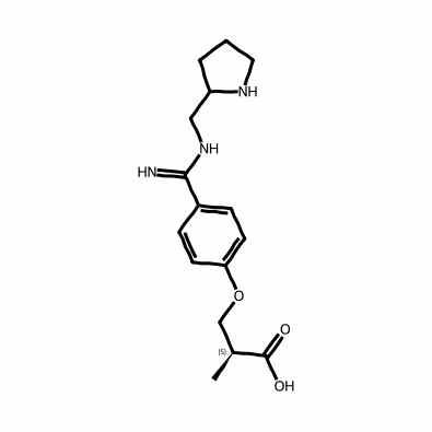 C[C@@H](COc1ccc(C(=N)NCC2CCCN2)cc1)C(=O)O